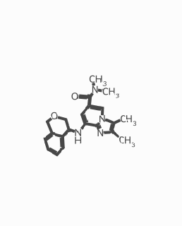 Cc1nc2c(NC3COCc4ccccc43)cc(C(=O)N(C)C)cn2c1C